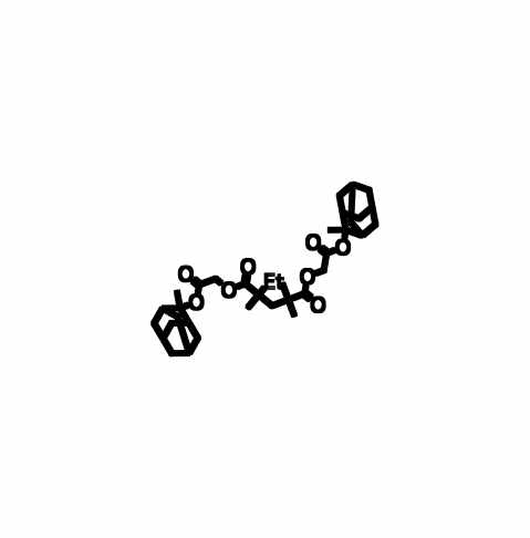 CCC(C)(CC(C)(C)C(=O)OCC(=O)OC1(C)C2CC3CC(C2)CC1C3)C(=O)OCC(=O)OC1(C)C2CC3CC(C2)CC1C3